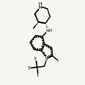 C[C@H]1CNCC[C@@H]1Nc1cccc2c1cc(I)n2CC(F)(F)F